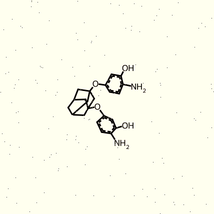 Nc1ccc(OC23CC4CC(C2)CC(Oc2ccc(N)c(O)c2)(C4)C3)cc1O